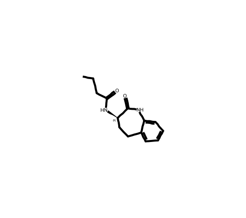 CCCC(=O)N[C@@H]1CCc2ccccc2NC1=O